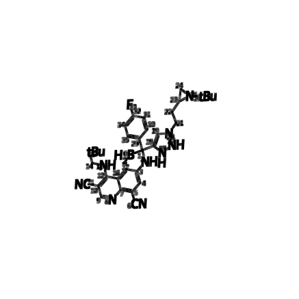 BC(Nc1cc(C#N)c2ncc(C#N)c(NCC(C)(C)C)c2c1)(C1=CN(CCC2CN2C(C)(C)C)NN1)c1ccc(F)cc1